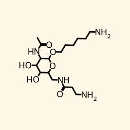 CC(=O)NC1C(OCCCCCCN)OC(CNC(=O)CCN)C(O)C1O